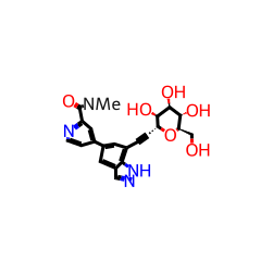 CNC(=O)c1cc(-c2cc(C#C[C@H]3O[C@H](CO)[C@@H](O)[C@H](O)[C@@H]3O)c3[nH]ncc3c2)ccn1